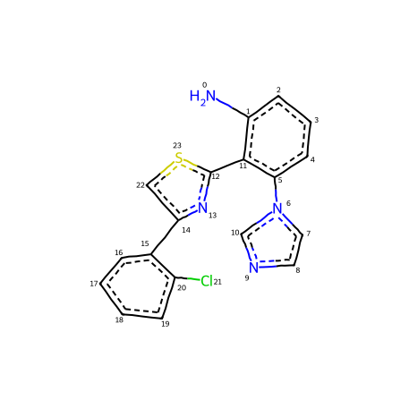 Nc1cccc(-n2ccnc2)c1-c1nc(-c2ccccc2Cl)cs1